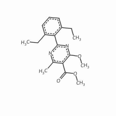 CCc1cccc(CC)c1-c1nc(C)c(C(=O)OC)c(OC)n1